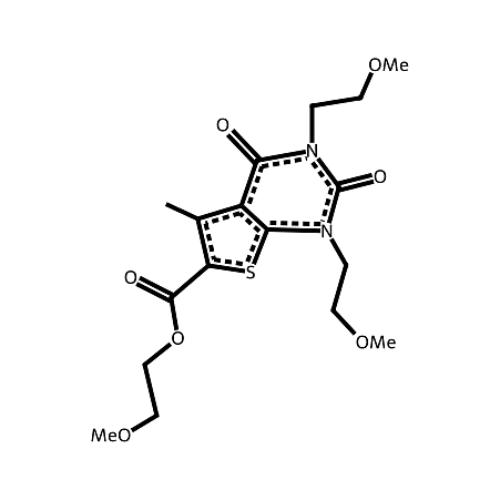 COCCOC(=O)c1sc2c(c1C)c(=O)n(CCOC)c(=O)n2CCOC